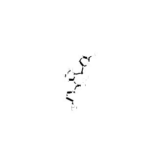 O=C(c1ccc(Br)s1)c1nonc1C(=O)c1ccc(Br)s1